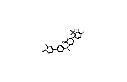 Cc1cc(-c2ccc([C@H](C)N3CC[C@](CC(C)(C)O)(c4ccc(F)cc4)OC3=O)cc2)cc[n+]1[O-]